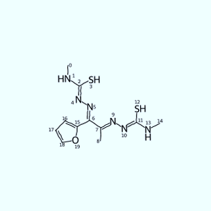 CN/C(S)=N/N=C(/C(C)=N/N=C(\S)NC)c1ccco1